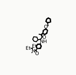 CCC(CC)N(C)C(=O)c1ccc(NC(c2oc3ccc(OCc4ccccc4)cc3c2C)C2CCCCC2)cc1